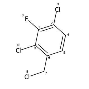 Fc1c(Cl)ccc(CCl)c1Cl